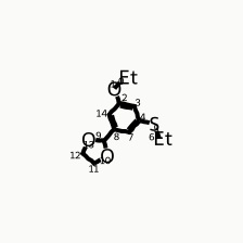 CCOc1cc(SCC)cc(C2OCCO2)c1